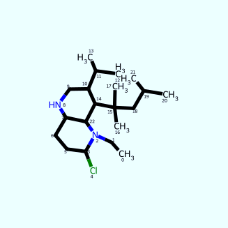 CCN1C(Cl)CCC2NCC(C(C)C)C(C(C)(C)CC(C)C)C21